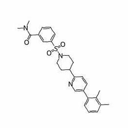 Cc1cccc(-c2ccc(C3CCN(S(=O)(=O)c4cccc(C(=O)N(C)C)c4)CC3)nc2)c1C